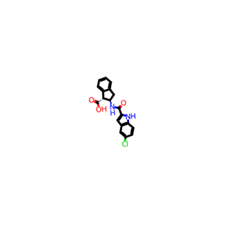 O=C(N[C@@H]1Cc2ccccc2[C@H]1C(=O)O)c1cc2cc(Cl)ccc2[nH]1